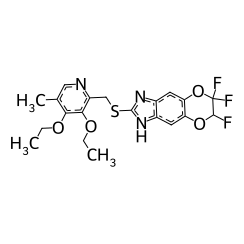 CCOc1c(C)cnc(CSc2nc3cc4c(cc3[nH]2)OC(F)C(F)(F)O4)c1OCC